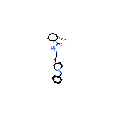 C[C@H]1CCCCC[C@H]1C(=O)NCCC1CCN(Cc2ccccc2)CC1